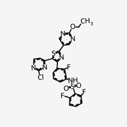 CCOc1ncc(-c2nc(-c3cccc(NS(=O)(=O)c4c(F)cccc4F)c3F)c(-c3ccnc(Cl)n3)s2)cn1